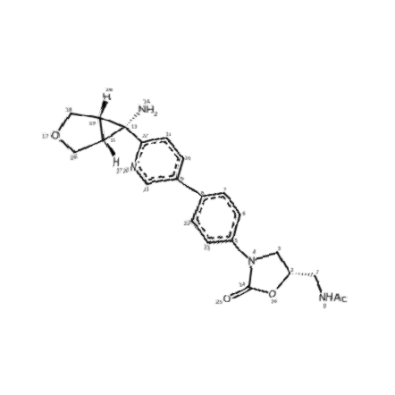 CC(=O)NC[C@H]1CN(c2ccc(-c3ccc([C@@]4(N)[C@@H]5COC[C@@H]54)nc3)cc2)C(=O)O1